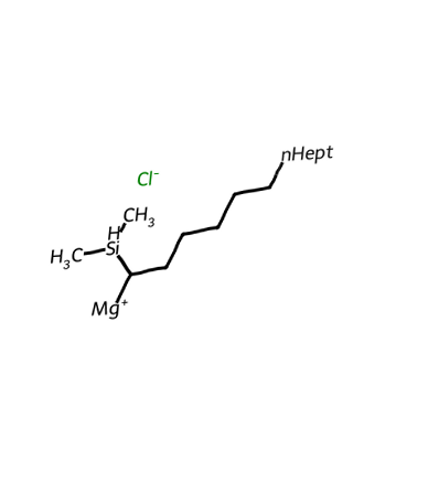 CCCCCCCCCCCC[CH]([Mg+])[SiH](C)C.[Cl-]